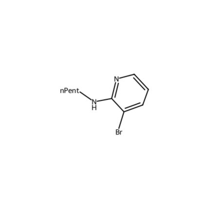 CCCCCNc1ncccc1Br